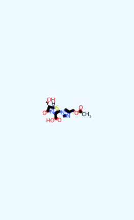 CC(=O)OCc1cn(C2=C(C(=O)O)N3C(=O)[C@H](CO)[C@H]3S2)cn1